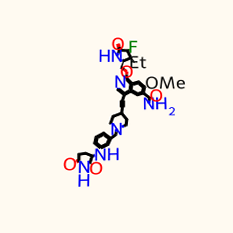 CC[C@@H]1[C@H](F)C(=O)N[C@@H]1COc1ncc(C#CC2CCN(Cc3cccc(NC4CCC(=O)NC4=O)c3)CC2)c2cc(C(N)=O)c(OC)cc12